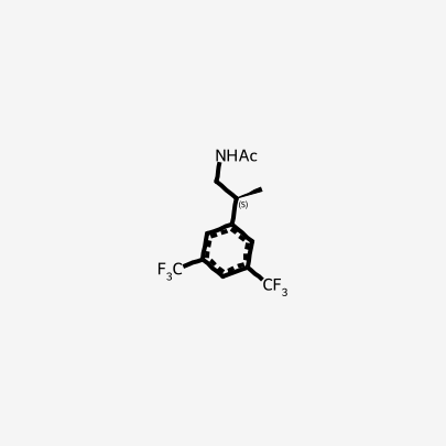 CC(=O)NC[C@@H](C)c1cc(C(F)(F)F)cc(C(F)(F)F)c1